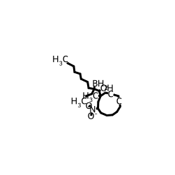 BC(CCC)(CCCCCCCC)C(O)C1(C)CCCCCCCCCC([N+](=O)[O-])C1